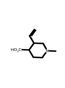 C=CC1CN(C)CCC1C(=O)O